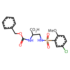 COc1ccc(Cl)cc1S(=O)(=O)NCC(NC(=O)OCc1ccccc1)C(=O)O